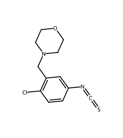 S=C=Nc1ccc(Cl)c(CN2CCOCC2)c1